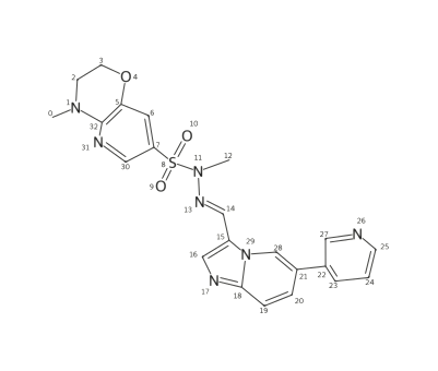 CN1CCOc2cc(S(=O)(=O)N(C)N=Cc3cnc4ccc(-c5cccnc5)cn34)cnc21